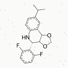 CC(C)c1ccc2c(c1)C1OCOC1[C@H](c1c(F)cccc1F)N2